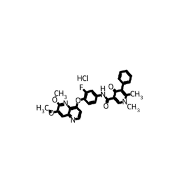 COc1cc2nccc(Oc3ccc(NC(=O)c4cn(C)c(C)c(-c5ccccc5)c4=O)cc3F)c2nc1OC.Cl